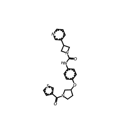 O=C(Nc1ccc(OC2CCN(C(=O)c3ccsc3)C2)cc1)N1CC(c2cccnc2)C1